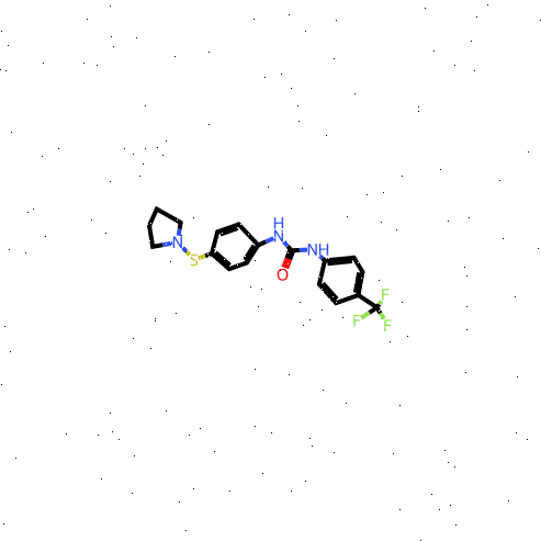 O=C(Nc1ccc(SN2CCCC2)cc1)Nc1ccc(C(F)(F)F)cc1